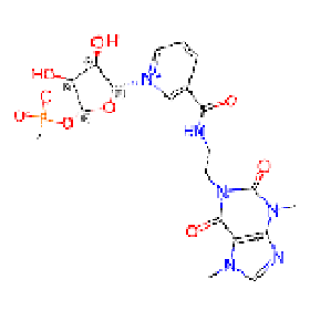 Cn1cnc2c1c(=O)n(CCNC(=O)c1ccc[n+]([C@@H]3O[C@H](OP(C)(=O)[O-])[C@@H](O)[C@H]3O)c1)c(=O)n2C